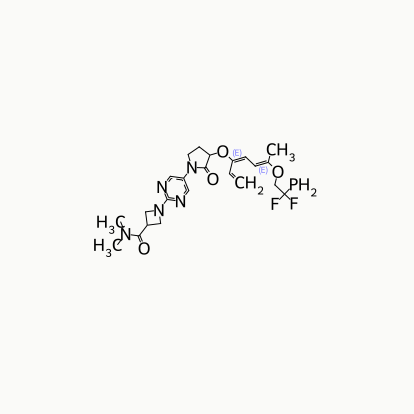 C=C/C(=C\C=C(/C)OCC(F)(F)P)OC1CCN(c2cnc(N3CC(C(=O)N(C)C)C3)nc2)C1=O